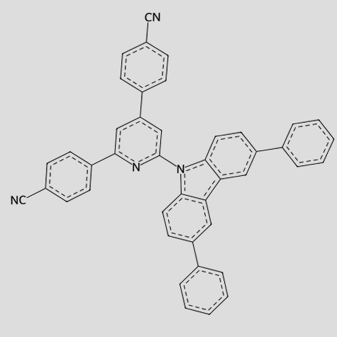 N#Cc1ccc(-c2cc(-c3ccc(C#N)cc3)nc(-n3c4ccc(-c5ccccc5)cc4c4cc(-c5ccccc5)ccc43)c2)cc1